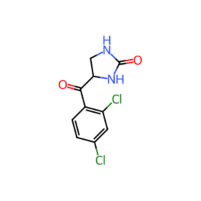 O=C1NCC(C(=O)c2ccc(Cl)cc2Cl)N1